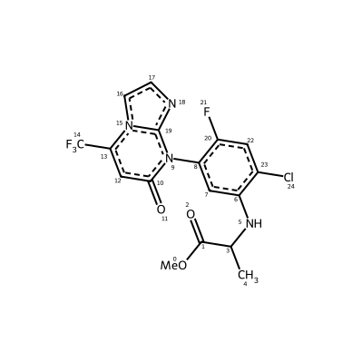 COC(=O)C(C)Nc1cc(-n2c(=O)cc(C(F)(F)F)n3ccnc23)c(F)cc1Cl